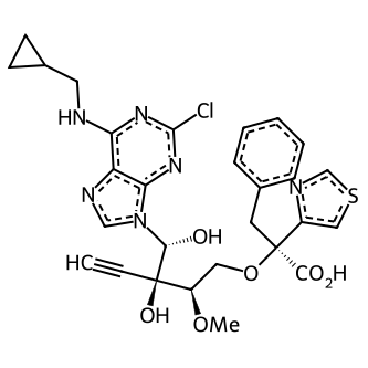 C#C[C@@](O)([C@@H](CO[C@](Cc1ccccc1)(C(=O)O)c1cscn1)OC)[C@@H](O)n1cnc2c(NCC3CC3)nc(Cl)nc21